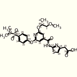 COC[C@@H](C)Oc1cc(C(=O)Nc2nc(CC(=O)O)cs2)cc(Oc2ccc(S(=O)(=O)N(C)C)cc2)n1